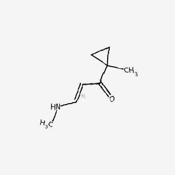 CN/C=C/C(=O)C1(C)CC1